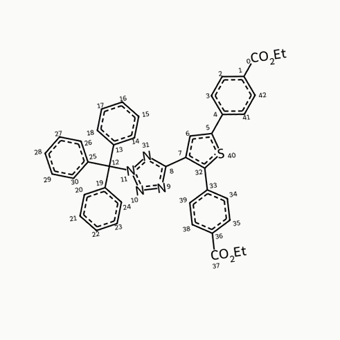 CCOC(=O)c1ccc(-c2cc(-c3nnn(C(c4ccccc4)(c4ccccc4)c4ccccc4)n3)c(-c3ccc(C(=O)OCC)cc3)s2)cc1